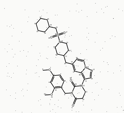 COc1ccc(CN2C(=O)CCN(c3cnn4ccc(CC5CCN(S(=O)(=O)CC6CCCCC6)CC5)cc34)C2=O)c(OC)c1